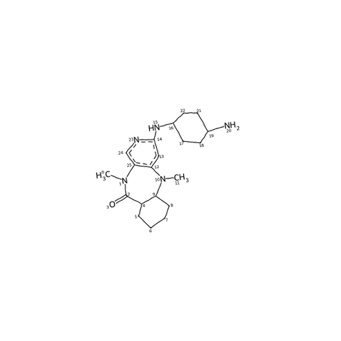 CN1C(=O)C2CCCCC2N(C)c2cc(NC3CCC(N)CC3)ncc21